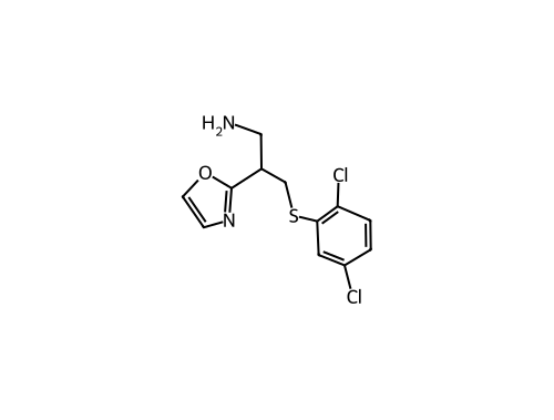 NCC(CSc1cc(Cl)ccc1Cl)c1ncco1